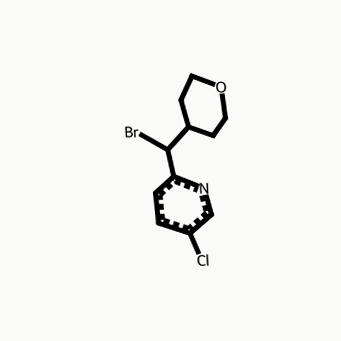 Clc1ccc(C(Br)C2CCOCC2)nc1